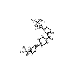 CC(C)(C)OC(=O)N1CCC(F)=C(C(=O)N2CCN(c3ncc(C(F)(F)F)cn3)CC2)C1